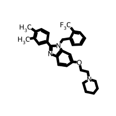 Cc1ccc(-c2nc3ccc(OCCN4CCCCC4)cc3n2Cc2ccccc2C(F)(F)F)cc1C